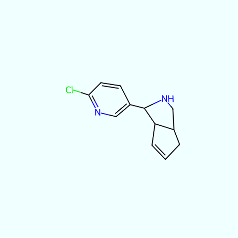 Clc1ccc(C2NCC3CC=CC32)cn1